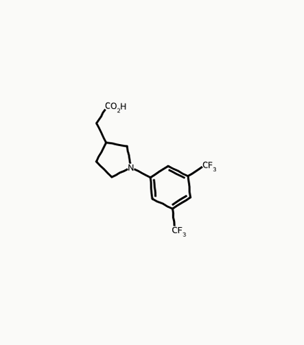 O=C(O)CC1CCN(c2cc(C(F)(F)F)cc(C(F)(F)F)c2)C1